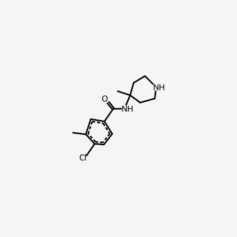 Cc1cc(C(=O)NC2(C)CCNCC2)ccc1Cl